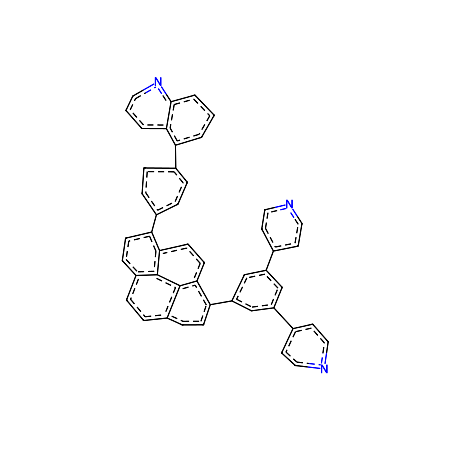 c1cc(-c2ccc(-c3ccc4ccc5ccc(-c6cc(-c7ccncc7)cc(-c7ccncc7)c6)c6ccc3c4c56)cc2)c2cccnc2c1